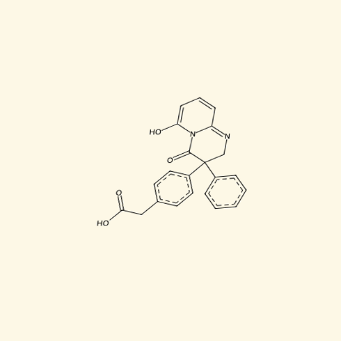 O=C(O)Cc1ccc(C2(c3ccccc3)CN=C3C=CC=C(O)N3C2=O)cc1